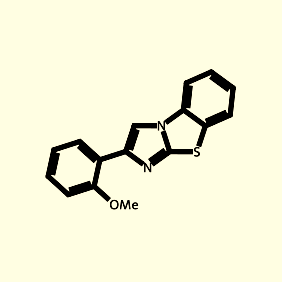 COc1ccccc1-c1cn2c(n1)sc1ccccc12